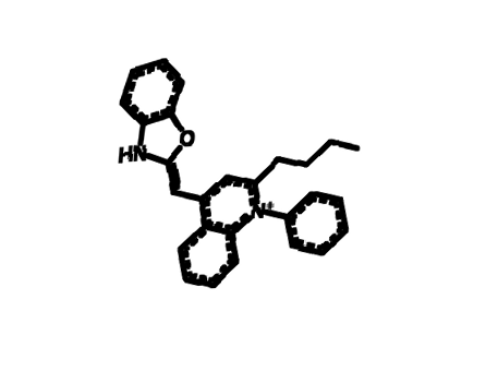 CCCCc1cc(/C=C2/Nc3ccccc3O2)c2ccccc2[n+]1-c1ccccc1